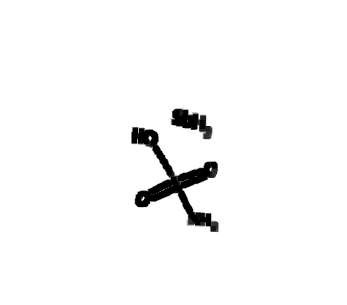 NS(=O)(=O)O.[SbH3]